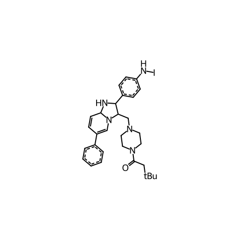 CC(C)(C)CC(=O)N1CCN(CC2C(c3ccc(NI)cc3)NC3C=CC(c4ccccc4)=CN32)CC1